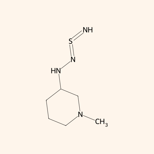 CN1CCCC(NN=S=N)C1